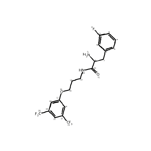 NC(Cc1cccc(F)c1)C(=O)NCCCOc1cc(C(F)(F)F)cc(C(F)(F)F)c1